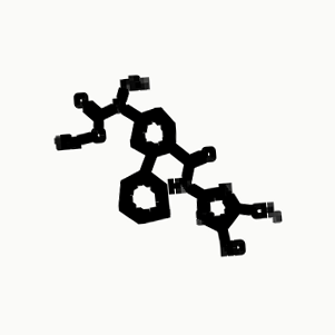 CCCCN(C(=O)OC(C)(C)C)c1ccc(C(=O)Nc2nc(C)c(N=O)s2)c(-c2ccccc2)c1